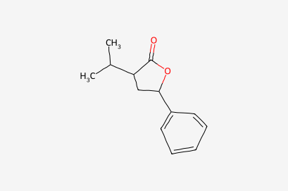 CC(C)C1CC(c2ccccc2)OC1=O